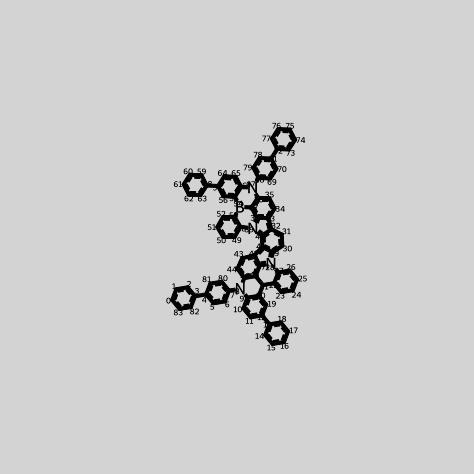 c1ccc(-c2ccc(N3c4ccc(-c5ccccc5)cc4C4c5ccccc5-n5c6ccc7c8ccc9c%10c8n(c7c6c6ccc3c4c65)-c3ccccc3B%10c3cc(-c4ccccc4)ccc3N9c3ccc(-c4ccccc4)cc3)cc2)cc1